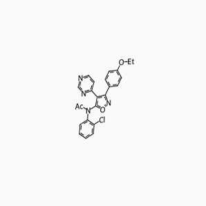 CCOc1ccc(-c2noc(N(C(C)=O)c3ccccc3Cl)c2-c2ccncn2)cc1